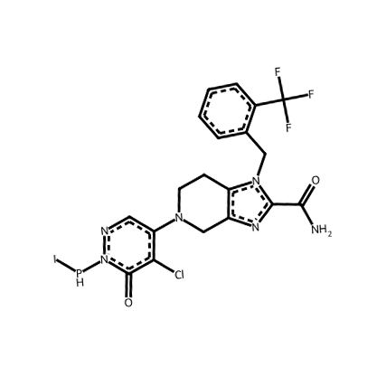 NC(=O)c1nc2c(n1Cc1ccccc1C(F)(F)F)CCN(c1cnn(PI)c(=O)c1Cl)C2